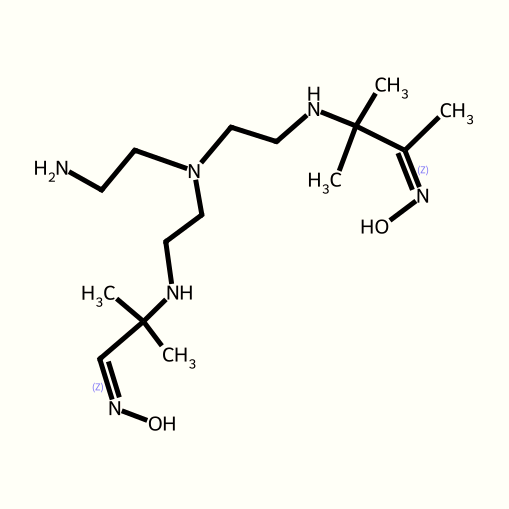 C/C(=N/O)C(C)(C)NCCN(CCN)CCNC(C)(C)/C=N\O